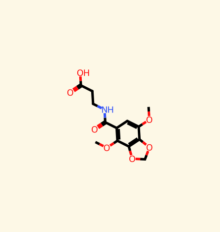 COc1cc(C(=O)NCCC(=O)O)c(OC)c2c1OCO2